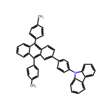 Cc1ccc(-c2c3ccccc3c(-c3ccc(C)cc3)c3cc(-c4ccc(-n5c6ccccc6c6ccccc65)cc4)ccc23)cc1